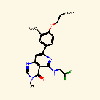 COCCOc1ccc(-c2cc3ncn(C)c(=O)c3c(NCC(F)F)n2)cc1OC